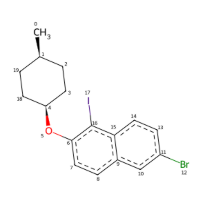 C[C@H]1CC[C@@H](Oc2ccc3cc(Br)ccc3c2I)CC1